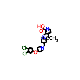 CC(C)c1ccnc(C(=O)O)c1CN1CCC(CN2CCC(Oc3ccc(Cl)c(Cl)c3)CC2)CC1